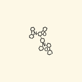 c1ccc(N(c2ccc(-c3cc(-n4c5ccccc5c5ccccc54)cc4c3oc3ccccc34)cc2)c2cccc3c2oc2ccccc23)cc1